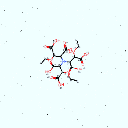 CCOC(C(=O)O)C(C(=O)O)N(C(C(=O)O)C(OCC)C(=O)O)C(C(=O)O)C(OCC)C(=O)O